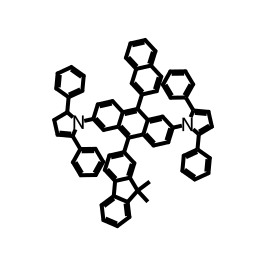 CC1(C)c2ccccc2-c2ccc(-c3c4ccc(-n5c(-c6ccccc6)ccc5-c5ccccc5)cc4c(-c4ccc5ccccc5c4)c4ccc(N5C(c6ccccc6)=CCC5c5ccccc5)cc34)cc21